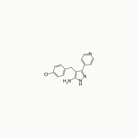 Nc1[nH]nc(-c2ccncc2)c1Cc1ccc(Cl)cc1